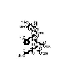 CCCCCCC(NC(=O)[C@H](CC(C)C)NC(=O)[C@@H](NC(=O)[C@H](Cc1ccccc1C)NC(=O)[C@H](CCC(=O)OC(C)(C)C)NC(=O)[C@H](CC(=O)OC(C)(C)C)NC(=O)CCC(=O)OC(C)(C)C)C(C)(C)C)C(OC)OC